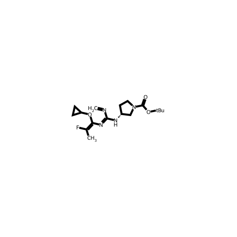 C=N/C(=N\C(OC1CC1)=C(/C)F)N[C@@H]1CCN(C(=O)OC(C)(C)C)C1